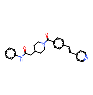 O=C(CC1CCN(C(=O)c2ccc(C=Cc3ccncc3)cc2)CC1)Nc1ccccc1